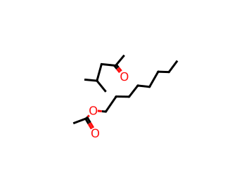 CC(=O)CC(C)C.CCCCCCCCOC(C)=O